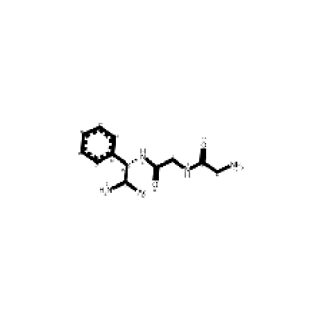 CC(=O)C(N)[C@@H](NC(=O)CNC(=O)CN)c1ccccc1